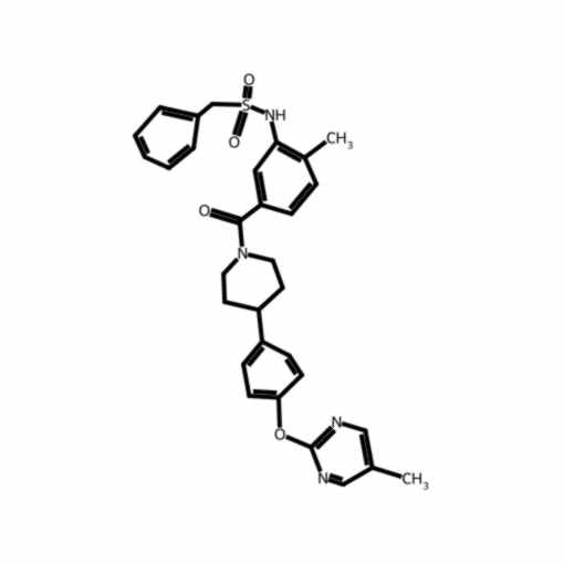 Cc1cnc(Oc2ccc(C3CCN(C(=O)c4ccc(C)c(NS(=O)(=O)Cc5ccccc5)c4)CC3)cc2)nc1